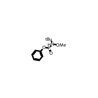 CON([PH](=O)Oc1ccccc1)C(C)(C)C